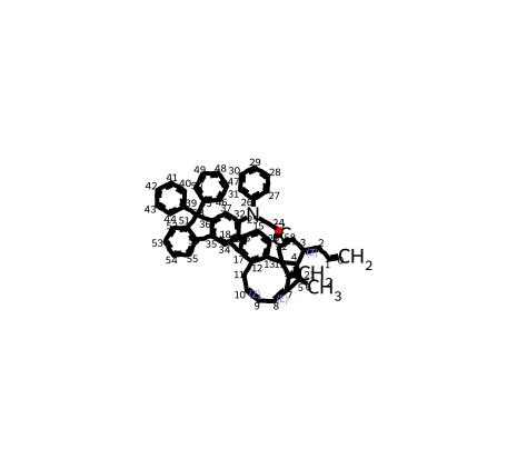 C=C/C=C1C2=C(C)/C3=C/C=C\Cc4c(ccc5c4C5)C2(C3=C)c2cc(N(c3ccccc3)c3ccc4c(c3)C(c3ccccc3)(c3ccccc3)c3ccccc3-4)ccc2\1